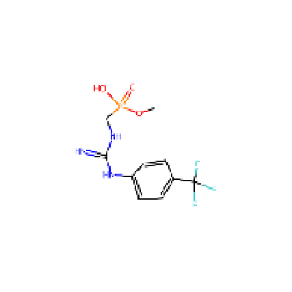 COP(=O)(O)CNC(=N)Nc1ccc(C(F)(F)F)cc1